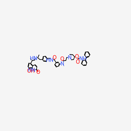 CC(Cc1ccc(CNC(=O)c2cccc(N(C)C(=O)CCN3CCC(OC(=O)Nc4ccccc4-c4ccccc4)CC3)c2)cc1)NC[C@H](C)c1ccc(O)c2[nH]c(=O)ccc12